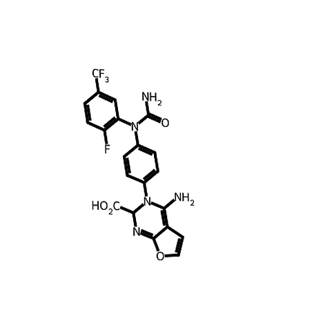 NC(=O)N(c1ccc(N2C(N)=c3ccoc3=NC2C(=O)O)cc1)c1cc(C(F)(F)F)ccc1F